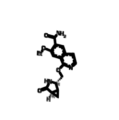 CCOc1cc2c(OC[C@H]3NC(=O)[C@@H]4CC34)nccc2cc1C(N)=O